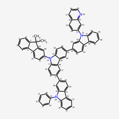 CC1(C)c2ccccc2-c2ccc(-n3c4ccc(-c5ccc6c7ccccc7n(-c7ccccc7)c6c5)cc4c4cc(-c5ccc6c7ccccc7n(-c7ccc8cccnc8c7)c6c5)ccc43)cc21